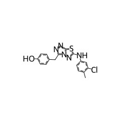 Cc1ccc(Nc2nn3c(Cc4ccc(O)cc4)nnc3s2)cc1Cl